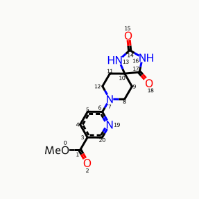 COC(=O)c1ccc(N2CCC3(CC2)NC(=O)NC3=O)nc1